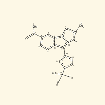 Cn1cc2c3cc(C(=O)O)ccc3n(-c3ccc(C(F)(F)F)s3)c2n1